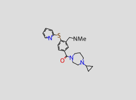 CNCc1cc(C(=O)N2CCCN(C3CC3)CC2)ccc1Sc1ccccn1